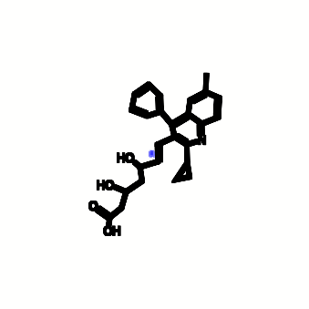 Cc1ccc2nc(C3CC3)c(/C=C/C(O)CC(O)CC(=O)O)c(-c3ccccc3)c2c1